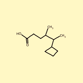 CC(CCC(=O)O)C(C)C1CCC1